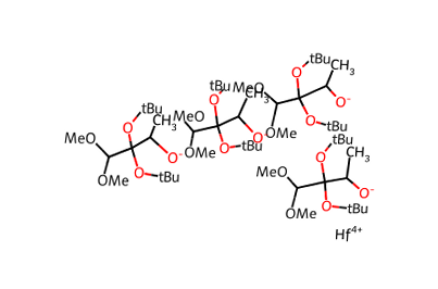 COC(OC)C(OC(C)(C)C)(OC(C)(C)C)C(C)[O-].COC(OC)C(OC(C)(C)C)(OC(C)(C)C)C(C)[O-].COC(OC)C(OC(C)(C)C)(OC(C)(C)C)C(C)[O-].COC(OC)C(OC(C)(C)C)(OC(C)(C)C)C(C)[O-].[Hf+4]